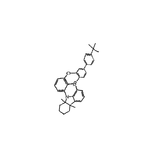 CC(C)(C)c1ccc(-c2ccc3c(c2)Oc2cccc4c2B3c2cccc3c2N4C2(C)CCCCC32C)cc1